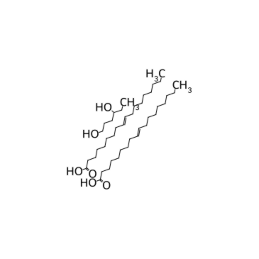 CCC(O)CCCO.CCCCCCCCC=CCCCCCCCC(=O)O.CCCCCCCCC=CCCCCCCCC(=O)O